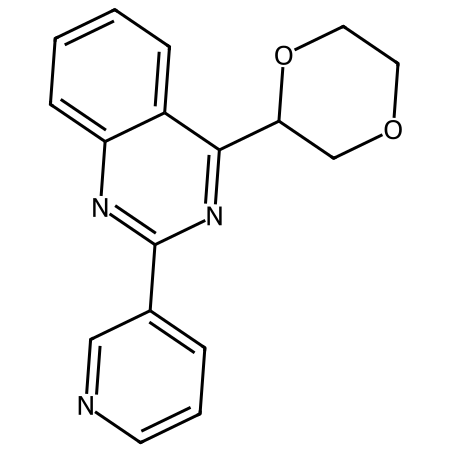 c1cncc(-c2nc(C3COCCO3)c3ccccc3n2)c1